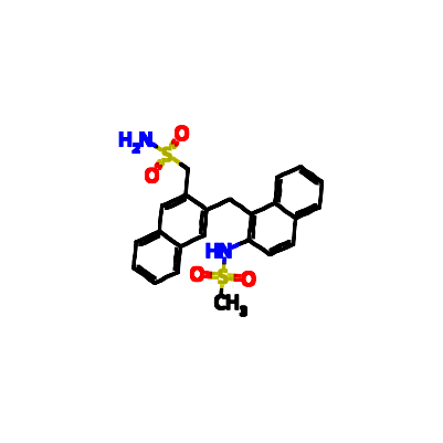 CS(=O)(=O)Nc1ccc2ccccc2c1Cc1cc2ccccc2cc1CS(N)(=O)=O